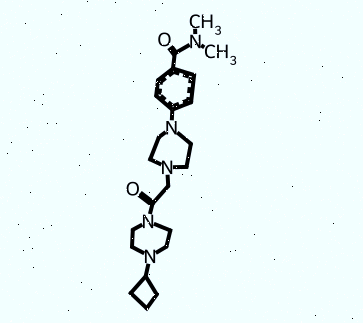 CN(C)C(=O)c1ccc(N2CCN(CC(=O)N3CCN(C4CCC4)CC3)CC2)cc1